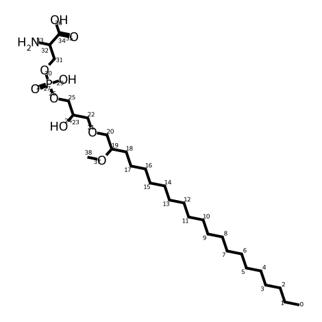 CCCCCCCCCCCCCCCCCCCC(COCC(O)COP(=O)(O)OCC(N)C(=O)O)OC